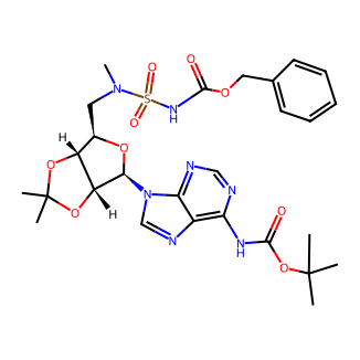 CN(C[C@H]1O[C@@H](n2cnc3c(NC(=O)OC(C)(C)C)ncnc32)[C@@H]2OC(C)(C)O[C@@H]21)S(=O)(=O)NC(=O)OCc1ccccc1